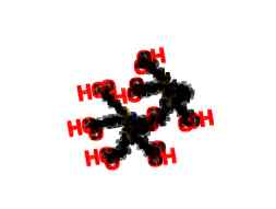 O=C(O)CCCCCCP(CCCCCCC(=O)O)CN(CP(CCCCCCC(=O)O)CCCCCCC(=O)O)c1ccccc1.O=C(O)CCCCCP(CCCCCC(=O)O)CN(CP(CCCCCC(=O)O)CCCCCC(=O)O)c1ccccc1